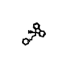 N#CC1(CCCN2CCCCC2)c2ccccc2-c2ccccc21